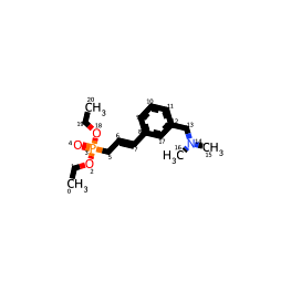 CCOP(=O)(CC=Cc1cccc(CN(C)C)c1)OCC